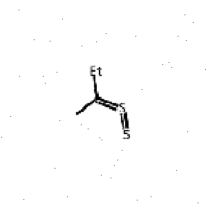 CCC(C)=S=S